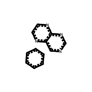 c1ccccc1.c1cnc2ncncc2n1